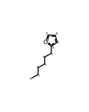 CCCCCCc1cc[c]o1